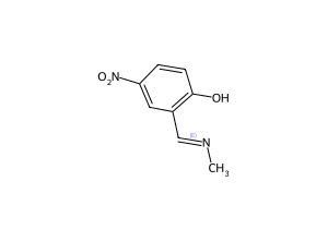 C/N=C/c1cc([N+](=O)[O-])ccc1O